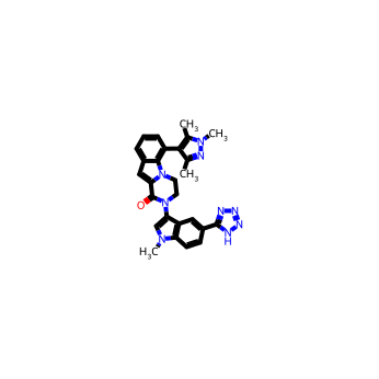 Cc1nn(C)c(C)c1-c1cccc2cc3n(c12)CCN(c1cn(C)c2ccc(-c4nnn[nH]4)cc12)C3=O